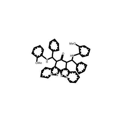 COc1ccccc1NC(c1ccccc1)C(C(=O)C(c1cnn2ccccc12)C(Nc1ccccc1OC)c1ccccc1)c1cnn2ccccc12